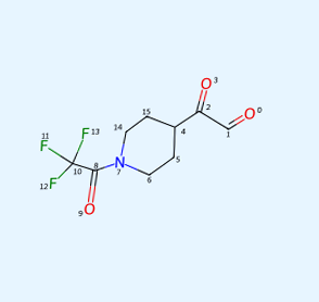 O=CC(=O)C1CCN(C(=O)C(F)(F)F)CC1